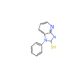 Sc1nc2ncccc2n1-c1ccccc1